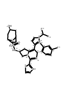 C[C@H]1CC2C[C@H](O)CC1N2S(=O)(=O)N[C@H]1CC2=C(c3ccn(C(F)F)n3)[C@H](c3ccc(F)cc3Cl)N=C(c3nccs3)N2C1